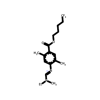 CCN(C)/C=N/c1cc(C)c(C(=O)OCCCCC(F)(F)F)cc1C